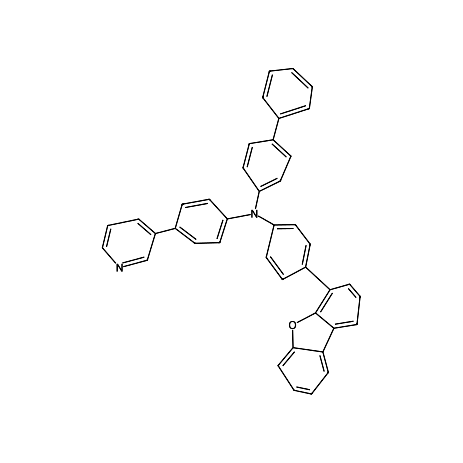 c1ccc(-c2ccc(N(c3ccc(-c4cccnc4)cc3)c3ccc(-c4cccc5c4oc4ccccc45)cc3)cc2)cc1